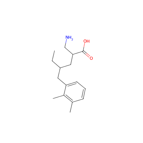 CCC(Cc1cccc(C)c1C)CC(CN)C(=O)O